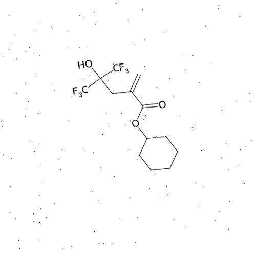 C=C(CC(O)(C(F)(F)F)C(F)(F)F)C(=O)OC1CCCCC1